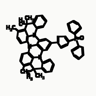 Cc1ccc2c3c1C(C)(C)c1ccccc1B3c1cc(-c3ccc(P(=O)(c4ccccc4)c4ccccc4)cc3)cc3c1N2c1ccc(C)c2c1B3c1ccccc1C2(C)C